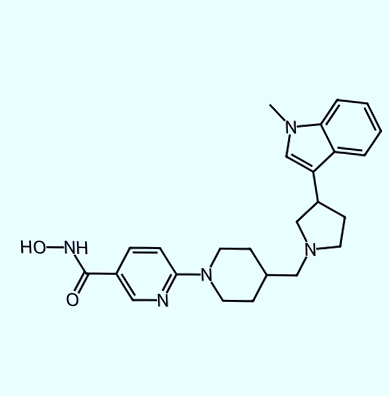 Cn1cc(C2CCN(CC3CCN(c4ccc(C(=O)NO)cn4)CC3)C2)c2ccccc21